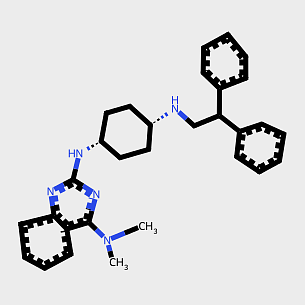 CN(C)c1nc(N[C@H]2CC[C@@H](NCC(c3ccccc3)c3ccccc3)CC2)nc2ccccc12